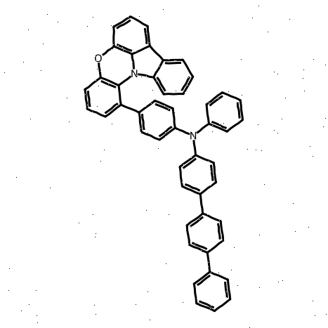 c1ccc(-c2ccc(-c3ccc(N(c4ccccc4)c4ccc(-c5cccc6c5-n5c7ccccc7c7cccc(c75)O6)cc4)cc3)cc2)cc1